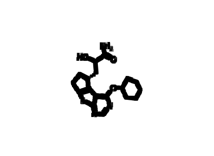 NC(=O)C(O)C[C@H]1CCc2sc3ncnc(OC4CCCCC4)c3c21